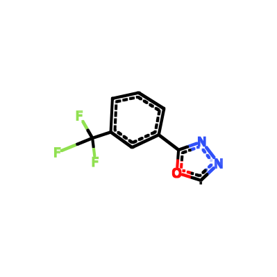 FC(F)(F)c1cccc(-c2nn[c]o2)c1